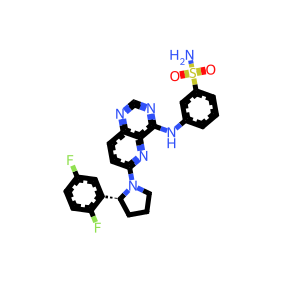 NS(=O)(=O)c1cccc(Nc2ncnc3ccc(N4CCC[C@@H]4c4cc(F)ccc4F)nc23)c1